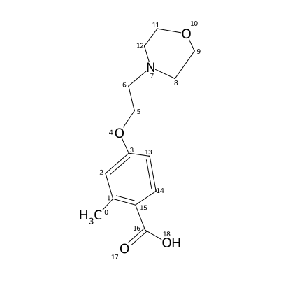 Cc1cc(OCCN2CCOCC2)ccc1C(=O)O